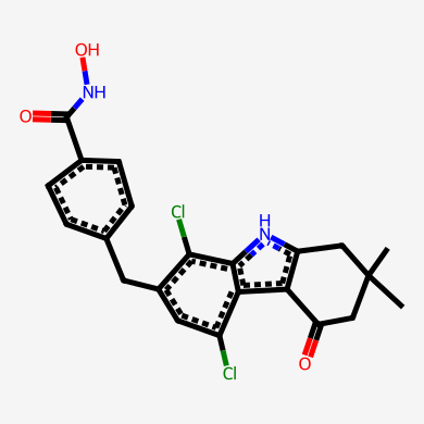 CC1(C)CC(=O)c2c([nH]c3c(Cl)c(Cc4ccc(C(=O)NO)cc4)cc(Cl)c23)C1